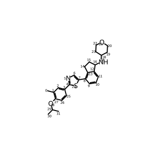 Cc1cc(-c2ncc(-c3cccc4c3CCC4NC3CCOCC3)s2)ccc1OC(C)C